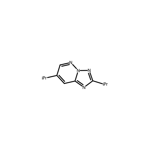 CC(C)c1cnn2nc(C(C)C)nc2c1